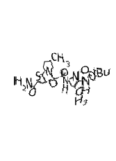 Cc1cc(NC(=O)C(=O)N2C[C@@H](C)CC[C@@H]2c2ccc(C(N)=O)s2)cnc1NC(=O)OC(C)(C)C